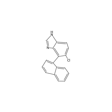 Clc1ccc2[nH][c]nc2c1-c1cccc2ccccc12